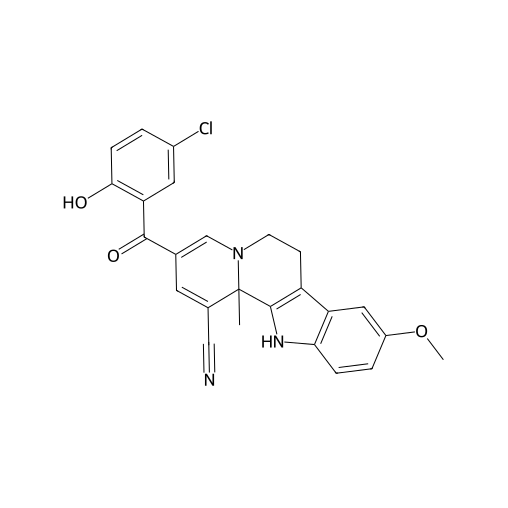 COc1ccc2[nH]c3c(c2c1)CCN1C=C(C(=O)c2cc(Cl)ccc2O)C=C(C#N)C31C